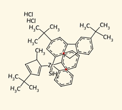 CC1C=C(C(C)(C)C)C=[C]1[Zr](=[SiH2])([c]1ccccc1)([c]1ccccc1)[c]1cc(C(C)(C)C)cc2c1Cc1ccc(C(C)(C)C)cc1-2.Cl.Cl